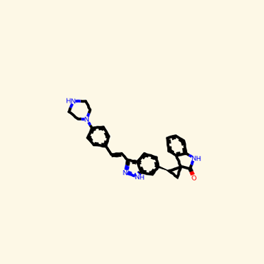 O=C1Nc2ccccc2C12C[C@H]2c1ccc2c(/C=C/c3ccc(N4CCNCC4)cc3)n[nH]c2c1